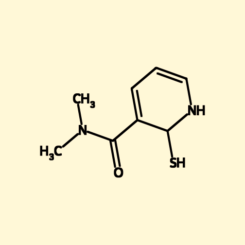 CN(C)C(=O)C1=CC=CNC1S